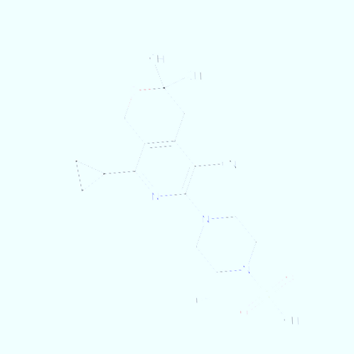 CC(C)[C@@H]1CN(c2nc(C3CC3)c3c(c2C#N)CC(C)(C)OC3)CCN1S(C)(=O)=O